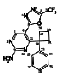 Nc1ncc(-c2nnc(C(F)(F)F)o2)c(C2(c3ccccc3)CCC2)n1